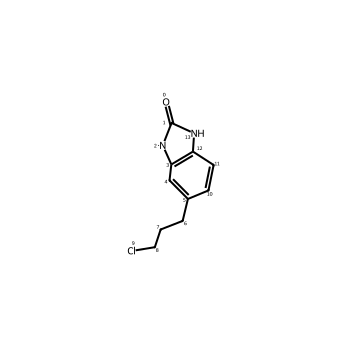 O=C1[N]c2cc(CCCCl)ccc2N1